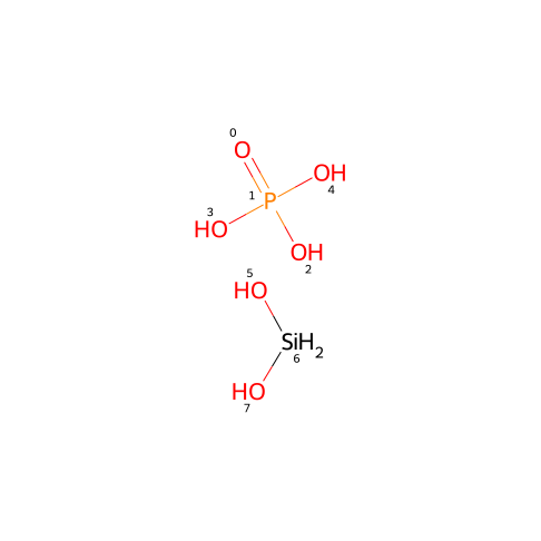 O=P(O)(O)O.O[SiH2]O